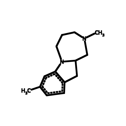 Cc1ccc2c(c1)N1CCCN(C)CC1C2